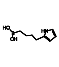 OB(O)CCCCc1ccc[nH]1